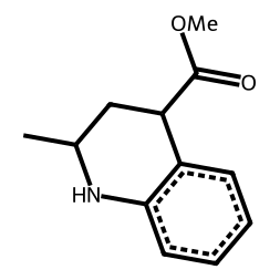 COC(=O)C1CC(C)Nc2ccccc21